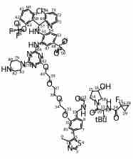 Cc1ncsc1-c1ccc(CNC(=O)[C@@H]2C[C@@H](O)CN2C(=O)C(NC(=O)C2(F)CC2)C(C)(C)C)c(OCCOCCOCCOc2nc(Nc3cc(S(C)(=O)=O)ccc3N[C@@H](c3cccc4c3OC(F)(F)O4)c3ncccc3Cl)nc(N3CCNCC3)n2)c1